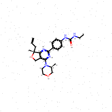 C=CC[C@@]1(C)OCc2c(N3CCOC[C@@H]3C)nc(-c3ccc(NC(=O)NCC)cc3)nc21